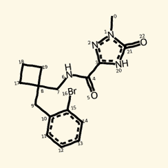 Cn1nc(C(=O)NCC2(Cc3ccccc3Br)CCC2)[nH]c1=O